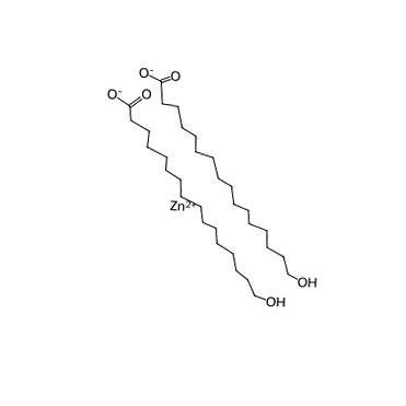 O=C([O-])CCCCCCCCCCCCCCCO.O=C([O-])CCCCCCCCCCCCCCCO.[Zn+2]